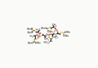 CC(C)COP(OCC(C)C)SCC(C)OP(OC(C)CSP(OCC(C)C)OCC(C)C)SCC(C)OP(OC(C)CSP(=O)(OC(C)CSP(OCC(C)C)OCC(C)C)OC(C)CSP(OCC(C)C)OCC(C)C)SCCC(=O)O